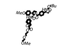 COCCOCCCOC(=O)c1cc2cc(NC(=O)[C@H]3[C@@H](C4CCC(OC)CC4)CCN3C(=O)C3CCC([C@@H](CF)NC(=O)OC(C)(C)C)CC3)ccc2o1